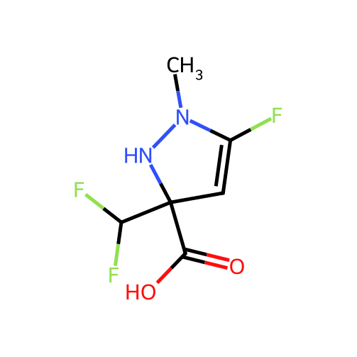 CN1NC(C(=O)O)(C(F)F)C=C1F